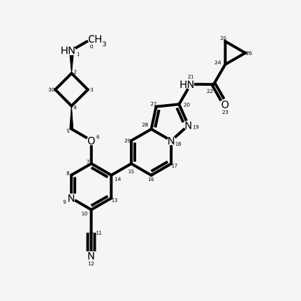 CN[C@H]1C[C@@H](COc2cnc(C#N)cc2-c2ccn3nc(NC(=O)C4CC4)cc3c2)C1